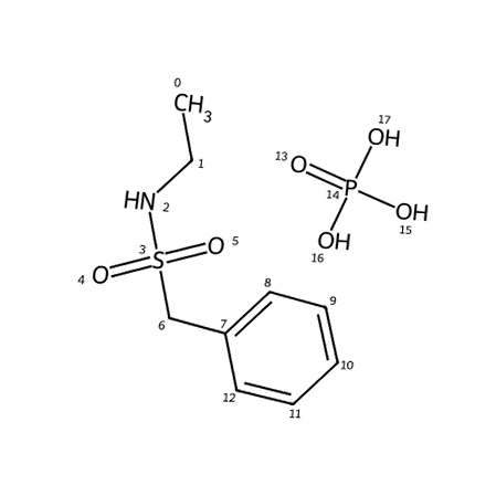 CCNS(=O)(=O)Cc1ccccc1.O=P(O)(O)O